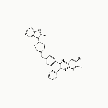 Cc1nc2nc(-c3ccccc3)c(-c3ccc(CN4CCC(n5c(C)nc6ccccc65)CC4)cc3)nc2cc1Br